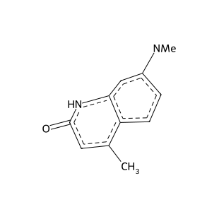 CNc1ccc2c(C)cc(=O)[nH]c2c1